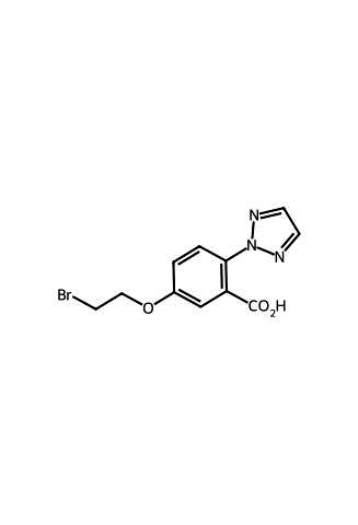 O=C(O)c1cc(OCCBr)ccc1-n1nccn1